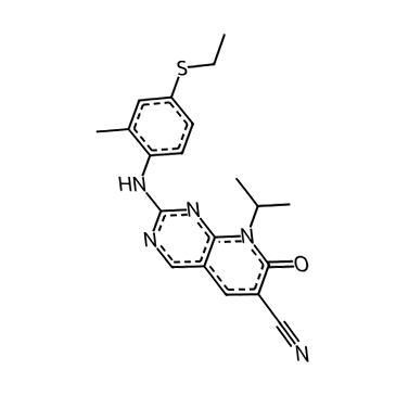 CCSc1ccc(Nc2ncc3cc(C#N)c(=O)n(C(C)C)c3n2)c(C)c1